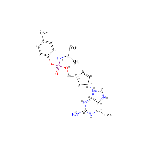 COc1ccc(OP(=O)(NC(C)C(=O)O)OC[C@@H]2C=C[C@H](n3cnc4c(OC)nc(N)nc43)C2)cc1